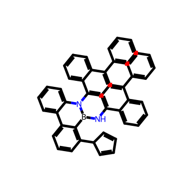 C1=CC(c2cccc3c2B(Nc2ccc(-c4ccccc4)c4ccccc24)N(c2ccc(-c4ccccc4)c4ccccc24)c2ccccc2-3)C=C1